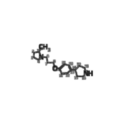 C[C@@H]1CCCN1CCCOc1ccc(C2CCNCC2)cc1